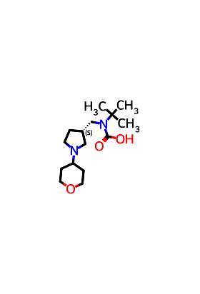 CC(C)(C)N(C[C@H]1CCN(C2CCOCC2)C1)C(=O)O